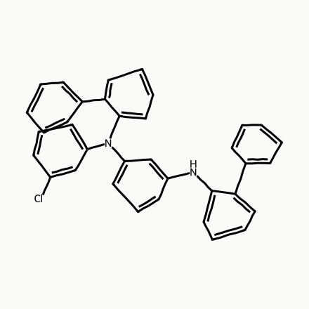 Clc1cccc(N(c2cccc(Nc3ccccc3-c3ccccc3)c2)c2ccccc2-c2ccccc2)c1